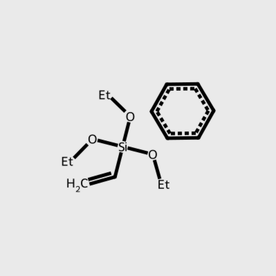 C=C[Si](OCC)(OCC)OCC.c1ccccc1